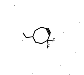 CCC1CCC#CC(F)(F)CC1